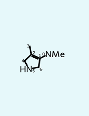 CNC1=C(C)CNC1